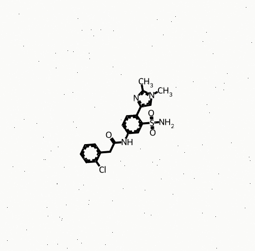 Cc1nc(-c2ccc(NC(=O)Cc3ccccc3Cl)cc2S(N)(=O)=O)cn1C